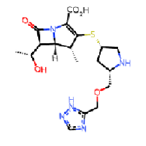 C[C@@H](O)[C@H]1C(=O)N2C(C(=O)O)=C(S[C@@H]3CN[C@H](COCc4ncn[nH]4)C3)[C@H](C)[C@H]12